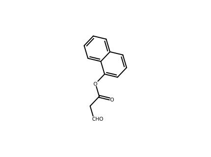 O=CCC(=O)Oc1cccc2ccccc12